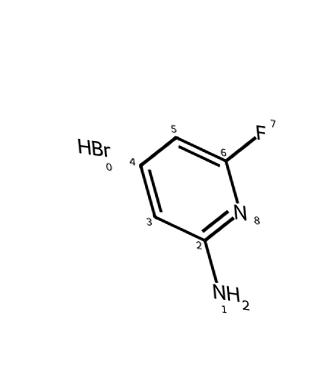 Br.Nc1cccc(F)n1